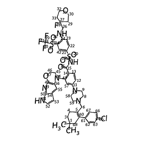 CC1(C)CCC(CN2CCN(c3ccc(C(=O)NS(=O)(=O)c4ccc(NCC5(F)CCOCC5)c(S(=O)(=O)C(F)(F)F)c4)c(N4CCOc5nc6[nH]ccc6cc54)c3)CC2)=C(c2ccc(Cl)cc2)C1